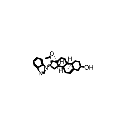 CC(=O)[C@H]1[C@H](n2cnc3ccccc32)C[C@H]2[C@@H]3CC=C4CC(O)CC[C@]4(C)[C@H]3CC[C@@]21C